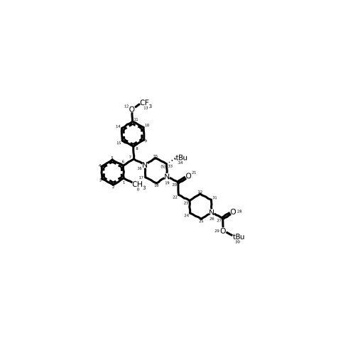 Cc1ccccc1C(c1ccc(OC(F)(F)F)cc1)N1CCN(C(=O)CC2CCN(C(=O)OC(C)(C)C)CC2)[C@@H](C(C)(C)C)C1